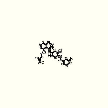 CC(=O)N(C)CCOc1cccc2ncnc(Nc3ccc(OCc4cccc(F)c4)c(Cl)c3)c12